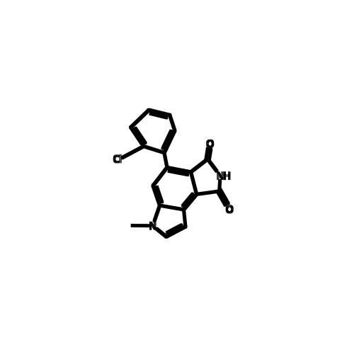 Cn1ccc2c3c(c(-c4ccccc4Cl)cc21)C(=O)NC3=O